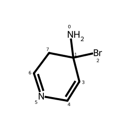 NC1(Br)C=CN=CC1